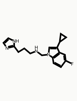 Fc1ccc2c(c1)c(C1CC1)cn2CNCCCc1ncc[nH]1